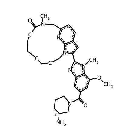 COc1cc(C(=O)N2CCC[C@@H](N)C2)cc2nc(-c3cc4ccc5nc4n3CCCCCCCC(=O)N(C)C5)n(C)c12